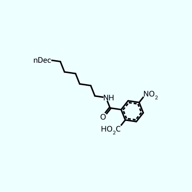 CCCCCCCCCCCCCCCCNC(=O)c1cc([N+](=O)[O-])ccc1C(=O)O